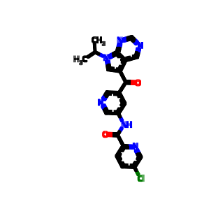 CC(C)n1cc(C(=O)c2cncc(NC(=O)c3ccc(Cl)cn3)c2)c2cncnc21